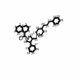 O=C(c1cccc2ccccc12)N1CC(CN2CCC(CCCc3ccccc3)CC2)C(c2ccccc2)C1